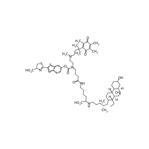 CC1=C(C)C(=O)C(C(C)(C)CCN(C)CCN(CCCC(=O)NCCCCC(NCCC[C@@H](C)[C@H]2CC[C@H]3[C@@H]4CC[C@@H]5C[C@H](O)CC[C@]5(C)[C@H]4CC[C@]23C)C(=O)O)C(=O)Oc2ccc3nc(C4=NC(C(=O)O)CS4)sc3c2)=C(C)C1=O